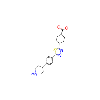 COC(=O)[C@H]1CC[C@H](c2nnc(-c3ccc(C4CCNCC4)cc3)s2)CC1